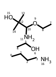 CCCC.CCO.CCOC(N)C(C)(C)O.N